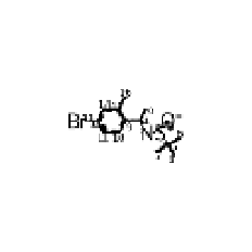 C/C(=N\[S+]([O-])C(C)(C)C)c1ccc(Br)cc1C